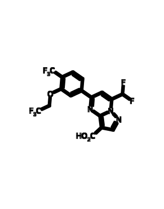 O=C(O)c1cnn2c(C(F)F)cc(-c3ccc(C(F)(F)F)c(OCC(F)(F)F)c3)nc12